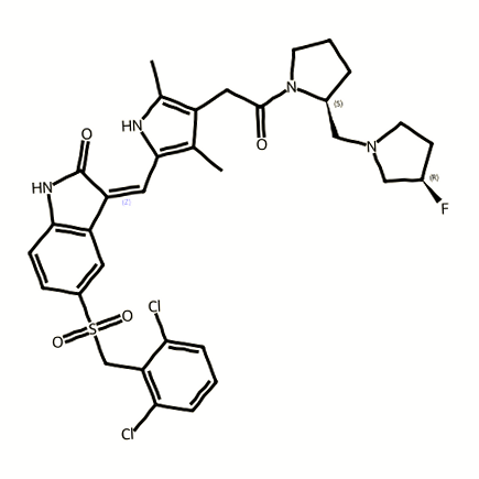 Cc1[nH]c(/C=C2\C(=O)Nc3ccc(S(=O)(=O)Cc4c(Cl)cccc4Cl)cc32)c(C)c1CC(=O)N1CCC[C@H]1CN1CC[C@@H](F)C1